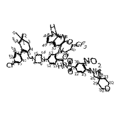 CC1(C)CCC(CN2CCN(c3ccc(C(=O)NS(=O)(=O)c4ccc(NCC5(F)CCOCC5)c([N+](=O)[O-])c4)c(N4CC[C@H](C(F)(F)F)Oc5nc6[nH]ccc6cc54)c3)CC2)=C(c2ccc(Cl)cc2)C1